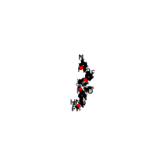 CC1(C)CN(c2ccc(F)c(OCc3ccc(C#N)cc3F)c2)CCN1Cc1nc2cc(-c3nnc(C(F)(F)F)[nH]3)ncc2n1C[C@]1(C)CCO1